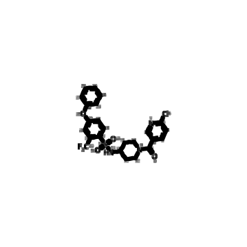 O=C(c1ccc(Cl)nc1)N1CCC(NS(=O)(=O)c2ccc(Oc3ccccc3)cc2C(F)(F)F)CC1